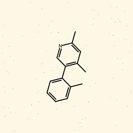 Cc1cc(C)c(-c2ccccc2C)cn1